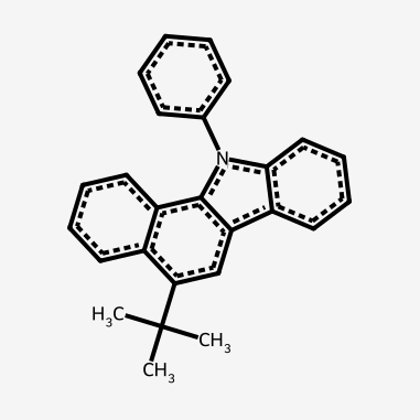 CC(C)(C)c1cc2c3ccccc3n(-c3ccccc3)c2c2ccccc12